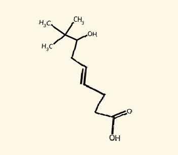 CC(C)(C)C(O)C/C=C/CCC(=O)O